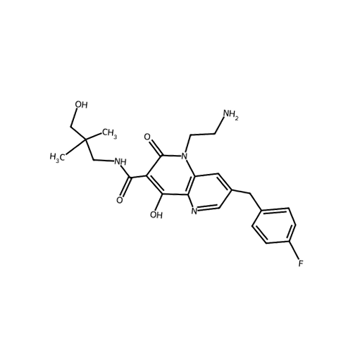 CC(C)(CO)CNC(=O)c1c(O)c2ncc(Cc3ccc(F)cc3)cc2n(CCN)c1=O